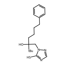 CC(C)(C)C(O)(CCCCc1ccccc1)Cn1ncnc1S